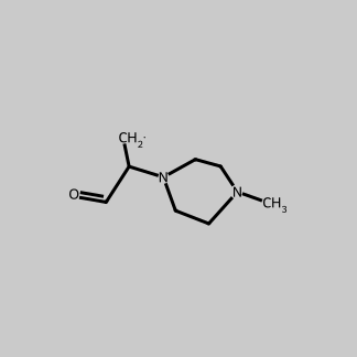 [CH2]C(C=O)N1CCN(C)CC1